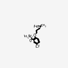 CNCCCOc1ccc(Cl)cc1C(=O)OC